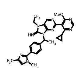 COc1ncnc(C2CC2)c1-c1ncc2c(n1)n(C(C)c1ccc(-c3nc(C(F)(F)F)cn3C)cc1)c(=N)n2CC(F)(F)F